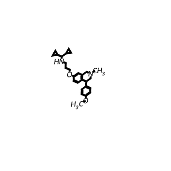 COc1ccc(C2CN(C)Cc3cc(OCCCNC(C4CC4)C4CC4)ccc32)cc1